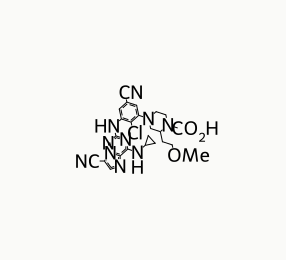 COCCC1CN(c2cc(C#N)cc(Nc3nc(NC4CC4)c4ncc(C#N)n4n3)c2Cl)CCN1C(=O)O